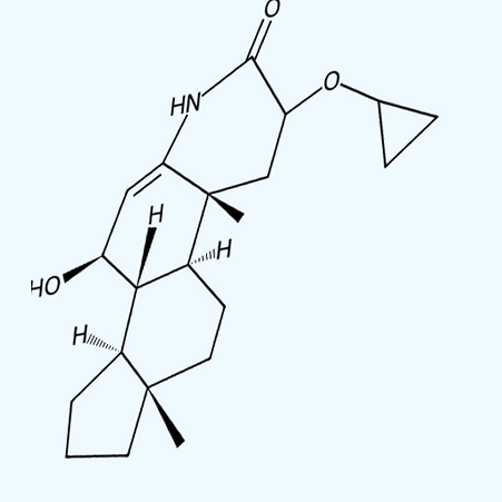 C[C@@]12CCC[C@H]1[C@@H]1[C@@H](O)C=C3NC(=O)C(OC4CC4)C[C@]3(C)[C@H]1CC2